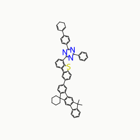 CC1(C)c2ccccc2-c2cc3c(cc21)-c1cc(-c2ccc4sc5c(-c6nc(-c7ccccc7)nc(-c7ccc(C8=CCCC=C8)cc7)n6)cccc5c4c2)ccc1C31CCCCC1